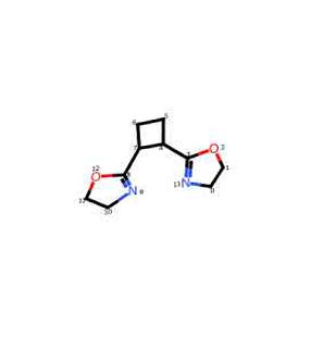 C1COC(C2CCC2C2=NCCO2)=N1